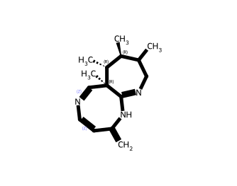 C=C1/C=C\N=C/[C@]2(C)C(=NCC(C)[C@H](C)[C@H]2C)N1